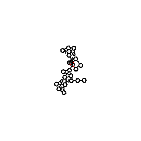 c1ccc(-c2ccc(-c3ccc(N(c4ccc5c(c4)C4(c6ccccc6-c6ccccc64)c4cccc6c7ccccc7n-5c46)c4cccc5c4-c4ccccc4C54c5ccccc5-c5cc(-c6cccc7c(N(c8ccc9c(c8)C8(c%10ccccc%10-c%10ccccc%108)c8cccc%10c%11ccccc%11n-9c8%10)c8cccc9c8-c8ccccc8Cc8ccccc8-c8ccccc8C9)cccc67)ccc54)cc3)cc2)cc1